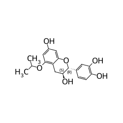 CC(C)Oc1cc(O)cc2c1C[C@H](O)[C@@H](c1ccc(O)c(O)c1)O2